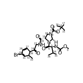 COC(=O)N[C@H](C(=O)N1CN(C(=O)OC(C)(C)C)C[C@H]1C(=O)NCC(=O)C1C=CC(Br)=CC1C)C(C)C